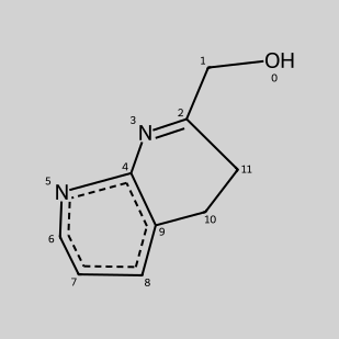 OCC1=Nc2ncccc2CC1